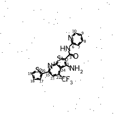 Nc1c(C(=O)Nc2ccccn2)sc2nc(-c3cccs3)cc(C(F)(F)F)c12